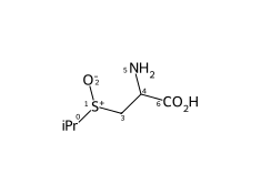 CC(C)[S+]([O-])CC(N)C(=O)O